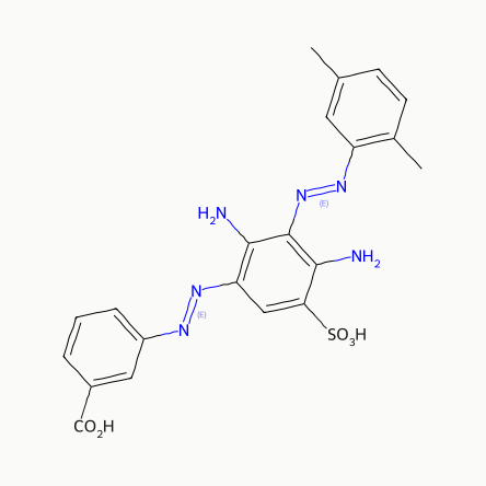 Cc1ccc(C)c(/N=N/c2c(N)c(/N=N/c3cccc(C(=O)O)c3)cc(S(=O)(=O)O)c2N)c1